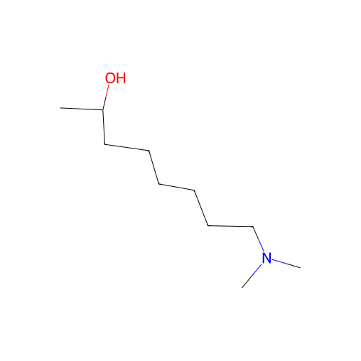 CC(O)CCCCCCN(C)C